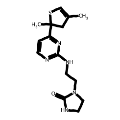 CC1=CSC(C)(c2ccnc(NCCN3CCNC3=O)n2)C1